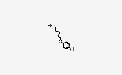 OCCOCCOc1ccc(Cl)cc1